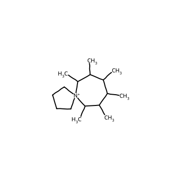 CC1C(C)C(C)C(C)[N+]2(CCCC2)C(C)C1C